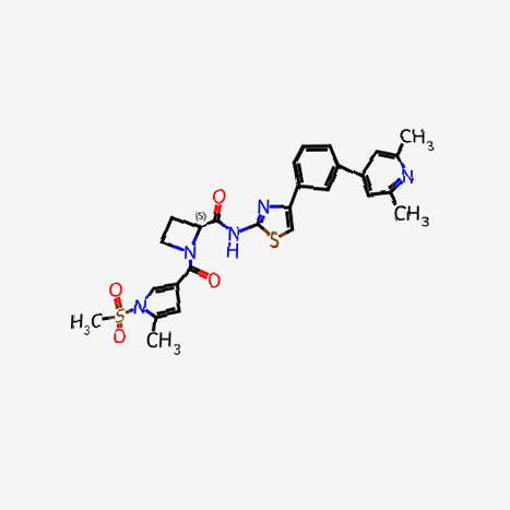 Cc1cc(-c2cccc(-c3csc(NC(=O)[C@@H]4CCN4C(=O)c4cc(C)n(S(C)(=O)=O)c4)n3)c2)cc(C)n1